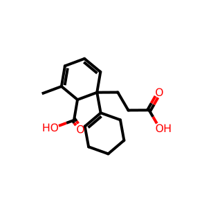 CC1=CC=CC(CCC(=O)O)(C2=CCCCC2)C1C(=O)O